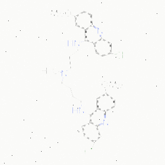 COc1ccc2nc3cc(Cl)ccc3c(NCCCCN(C)CCCNc3c4ccc(Cl)cc4nc4ccc(OC)cc34)c2c1